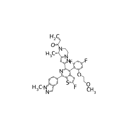 C=CC(=O)N1CCn2nc(-c3nc(-c4ccc5c(cnn5C)c4)c4sc(F)cc4c3-c3c(F)cc(F)cc3OCCOC)cc2[C@H]1C